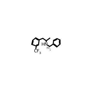 CC(Cc1cccc(C(F)(F)F)c1)N[C@@H](C)c1ccccc1